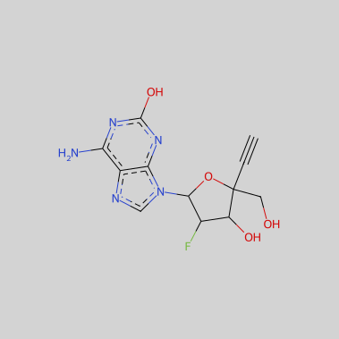 C#CC1(CO)OC(n2cnc3c(N)nc(O)nc32)C(F)C1O